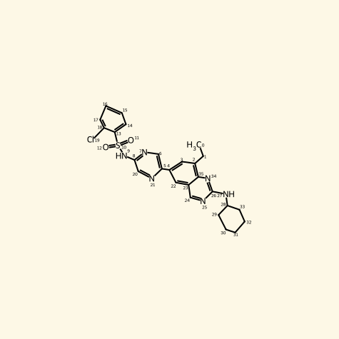 CCc1cc(-c2cnc(NS(=O)(=O)c3ccccc3Cl)cn2)cc2cnc(NC3CCCCC3)nc12